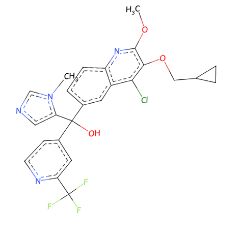 COc1nc2ccc(C(O)(c3ccnc(C(F)(F)F)c3)c3cncn3C)cc2c(Cl)c1OCC1CC1